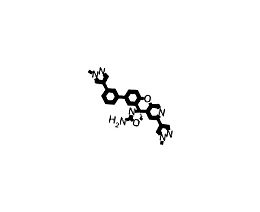 Cn1cc(-c2cccc(-c3ccc4c(c3)[C@@]3(COC(N)=N3)c3cc(-c5cnn(C)c5)ncc3O4)c2)cn1